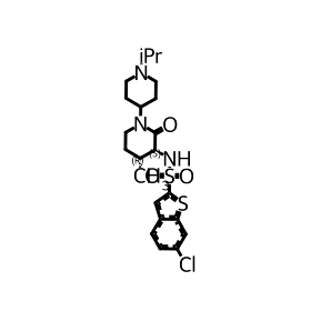 CC(C)N1CCC(N2CC[C@@H](C)[C@H](NS(=O)(=O)c3cc4ccc(Cl)cc4s3)C2=O)CC1